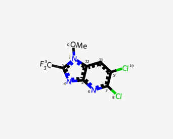 COn1c(C(F)(F)F)nc2nc(Cl)c(Cl)cc21